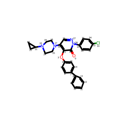 O=c1c(Oc2ccc(-c3ccccc3)cc2)c(N2CCN(C3CC3)CC2)cnn1-c1ccc(Cl)cc1